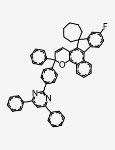 Fc1ccc2c(c1)C1(CCCCCC1)c1c3c(c4ccccc4c1-2)OC(c1ccccc1)(c1ccc(-c2nc(-c4ccccc4)cc(-c4ccccc4)n2)cc1)C=C3